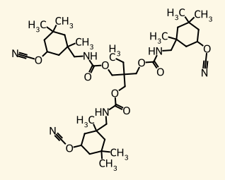 CCC(COC(=O)NCC1(C)CC(OC#N)CC(C)(C)C1)(COC(=O)NCC1(C)CC(OC#N)CC(C)(C)C1)COC(=O)NCC1(C)CC(OC#N)CC(C)(C)C1